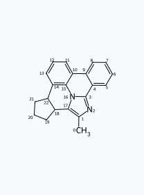 Cc1nc2c3ccccc3c3cccc4c3n2c1C1CCCC41